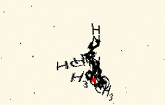 CN(C)C(=O)c1cc2cnc(Nc3ccc(C4CCNCC4)cn3)nc2n1C1CCCC1.Cl